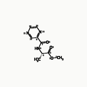 COC(=O)[C@H](C)NC(=O)c1cnccn1